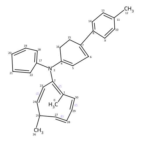 CC1=C(N(C2=CC=C(c3ccc(C)cc3)CC2)c2ccccc2)\C=C/C(C)/C=C/C=C\1